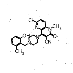 Cc1cccc(O)c1CN1CCN(c2c(C#N)c(=O)n(C)c3ccc(Cl)nc23)CC1